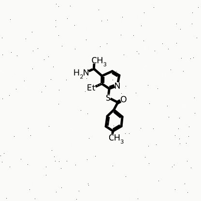 CCc1c(C(C)N)ccnc1SC(=O)c1ccc(C)cc1